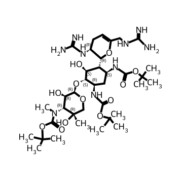 CN(C(=O)OC(C)(C)C)[C@@H]1[C@@H](O)[C@@H](O[C@H]2[C@H](NC(=O)OC(C)(C)C)C[C@H](NC(=O)OC(C)(C)C)C([C@H]3OC(CNC(=N)N)=CC[C@H]3NC(=N)N)[C@@H]2O)OC[C@]1(C)O